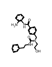 Nc1ccccc1NC(=O)c1ccc(CN(CCO)C(=O)NCCc2ccccc2)cc1